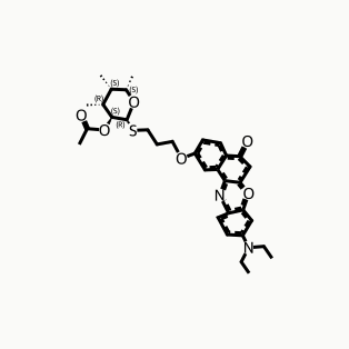 CCN(CC)c1ccc2nc3c4cc(OCCCS[C@H]5O[C@@H](C)[C@@H](C)[C@@H](C)[C@@H]5OC(C)=O)ccc4c(=O)cc-3oc2c1